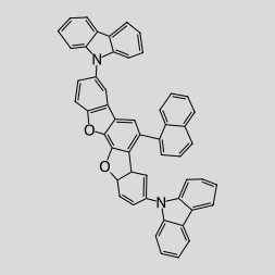 C1=CC2Oc3c(c(-c4cccc5ccccc45)cc4c3oc3ccc(-n5c6ccccc6c6ccccc65)cc34)C2C=C1n1c2ccccc2c2ccccc21